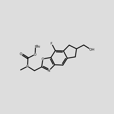 CN(Cc1nc2cc3c(c(F)c2o1)CC(CO)C3)C(=O)OC(C)(C)C